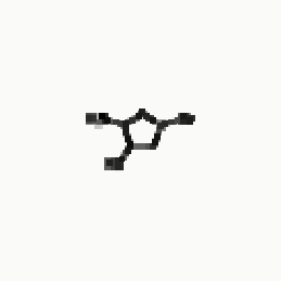 CC(C)N1CC(N)C(C#N)C1